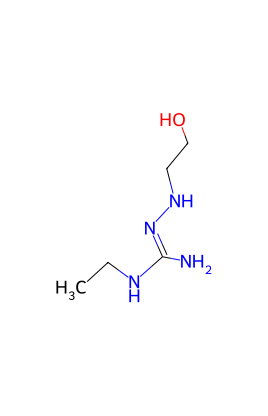 CCNC(N)=NNCCO